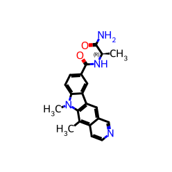 Cc1c2ccncc2cc2c3cc(C(=O)N[C@H](C)C(N)=O)ccc3n(C)c12